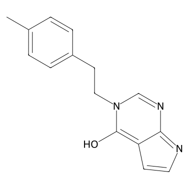 Cc1ccc(CCn2cnc3nccc-3c2O)cc1